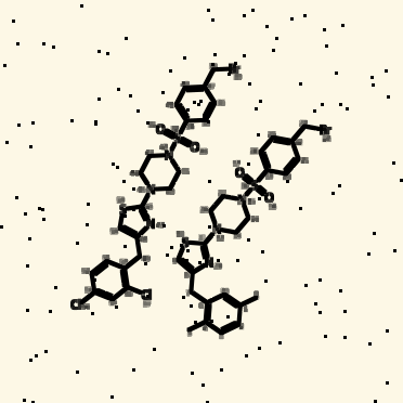 Cc1ccc(C)c(Cc2csc(N3CCN(S(=O)(=O)c4ccc(CBr)cc4)CC3)n2)c1.O=S(=O)(c1ccc(CBr)cc1)N1CCN(c2nc(Cc3ccc(Cl)cc3Cl)cs2)CC1